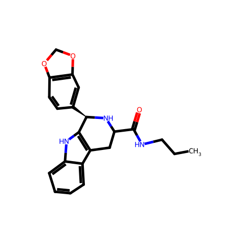 CCCNC(=O)C1Cc2c([nH]c3ccccc23)[C@@H](c2ccc3c(c2)OCO3)N1